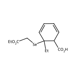 CCOC(=O)C[Se]C1(CC)C=CC=CC1C(=O)O